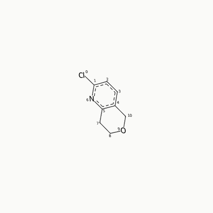 Clc1ccc2c(n1)CCOC2